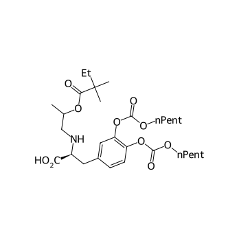 CCCCCOC(=O)Oc1ccc(C[C@H](NCC(C)OC(=O)C(C)(C)CC)C(=O)O)cc1OC(=O)OCCCCC